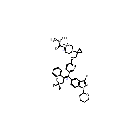 CCN(C/C=C/C(=O)N(C)C)C1(COc2ccc(/C(=C(/CC(F)(F)F)c3ccccc3)c3ccc4c(c3)c(F)nn4C3CCCCO3)cn2)CC1